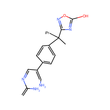 C=C(N)/N=C\C(=C/N)c1ccc(C(C)(c2noc(O)n2)C(C)C)cc1